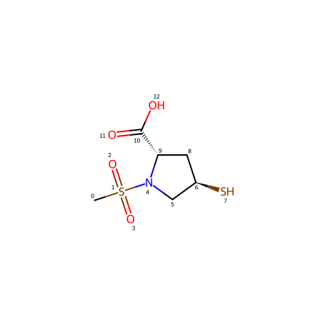 CS(=O)(=O)N1C[C@H](S)C[C@H]1C(=O)O